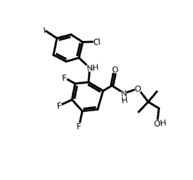 CC(C)(CO)ONC(=O)c1cc(F)c(F)c(F)c1Nc1ccc(I)cc1Cl